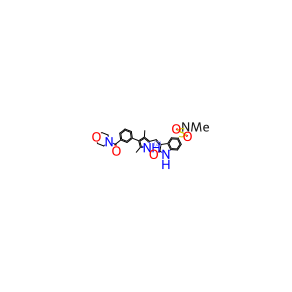 CNS(=O)(=O)c1ccc2c(c1)/C(=C/c1[nH]c(C)c(-c3cccc(C(=O)N4CCOCC4)c3)c1C)C(=O)N2